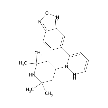 CC1(C)CC(N2NC=CC=C2c2ccc3nonc3c2)CC(C)(C)N1